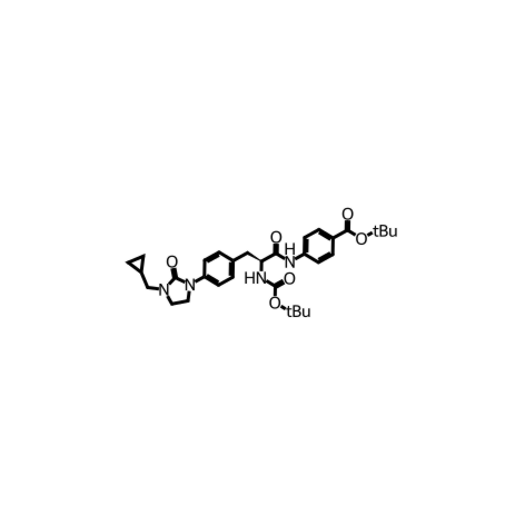 CC(C)(C)OC(=O)N[C@@H](Cc1ccc(N2CCN(CC3CC3)C2=O)cc1)C(=O)Nc1ccc(C(=O)OC(C)(C)C)cc1